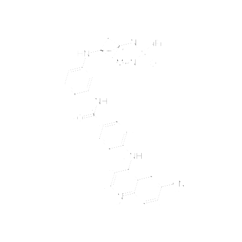 CNS(=O)(=NC12CC(Nc3cccc(NC(=O)c4ccc(Nc5ccnc6ccc(C#N)cc56)cc4)c3)(C1)C2)C(C)C